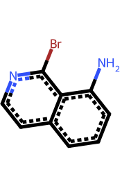 Nc1cccc2ccnc(Br)c12